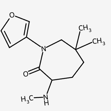 CNC1CCC(C)(C)CN(c2ccoc2)C1=O